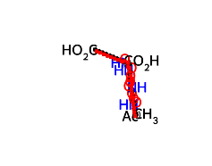 CC(=O)[C@@H](C)CCCCNC(=O)COCCOCCNC(=O)COCCOCCNC(=O)CC[C@H](NC(=O)CCCCCCCCCCCCCCCCC(=O)O)C(=O)O